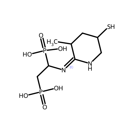 CC1CC(S)CN/C1=N/C(CP(=O)(O)O)P(=O)(O)O